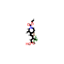 CCOC(=O)N1CCc2sc(C(CC(=O)O)C(F)(F)F)cc2C(C)C1